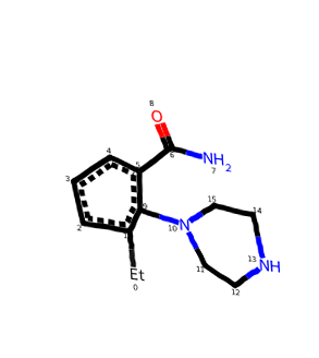 CCc1cccc(C(N)=O)c1N1CCNCC1